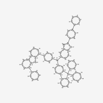 c1ccc(-c2ccc(-c3nc4cc(N(c5ccc(-c6cccc7c6sc6c(-c8ccccc8)cccc67)cc5)c5ccc6c(c5)C(c5ccccc5)(c5ccccc5)c5ccccc5-6)ccc4o3)cc2)cc1